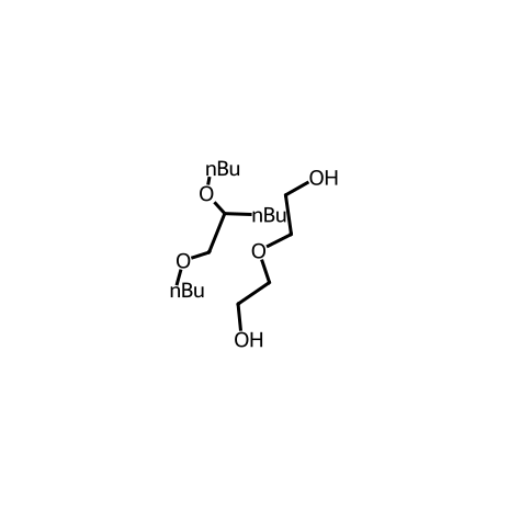 CCCCOCC(CCCC)OCCCC.OCCOCCO